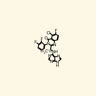 C[C@@H](Nc1ncnc2[nH]cnc12)c1nc2ccc(F)c(Cl)c2c(=O)n1-c1cccc(F)c1F